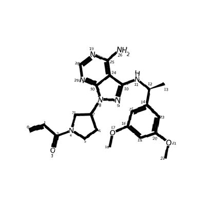 C=CC(=O)N1CCC(n2nc(N[C@@H](C)c3cc(OC)cc(OC)c3)c3c(N)ncnc32)C1